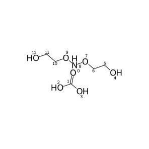 O=C(O)O.OCCONOCCO